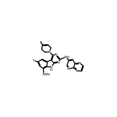 CNc1cc(F)cc2c1[nH]c1nc(Nc3cnc4nccnc4c3)nc(N3CC=C(C)CC3)c12